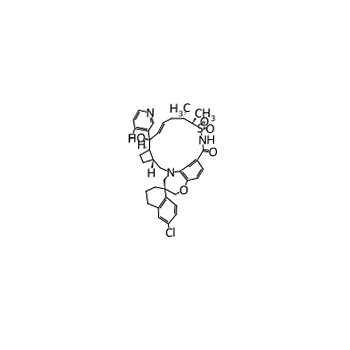 C[C@@H]1[C@@H](C)C/C=C/[C@@](O)(c2cnccc2F)[C@@H]2CC[C@H]2CN2C[C@@]3(CCCc4cc(Cl)ccc43)COc3ccc(cc32)C(=O)NS1(=O)=O